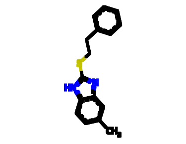 Cc1ccc2[nH]c(SCCc3ccccc3)nc2c1